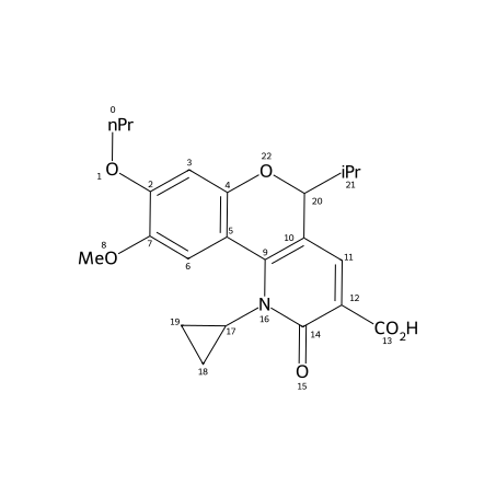 CCCOc1cc2c(cc1OC)-c1c(cc(C(=O)O)c(=O)n1C1CC1)C(C(C)C)O2